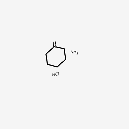 C1CCNCC1.Cl.N